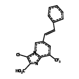 O=C(O)c1nc2c(C(F)(F)F)cc(/C=C/c3ccccc3)cn2c1Cl